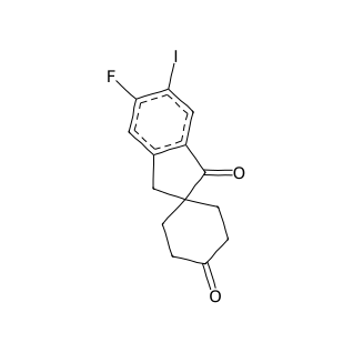 O=C1CCC2(CC1)Cc1cc(F)c(I)cc1C2=O